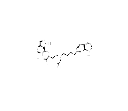 CO[C@H](C)CN(CCCCc1ccc2c(n1)NCCC2)CCC(Nc1ncnc2cn[nH]c12)C(=O)O